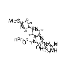 CCCOCCn1c(=O)c(N2C[C@@H]3C[C@H]2CN3)nc2cnc(-c3ccc(OC)nc3)cc21